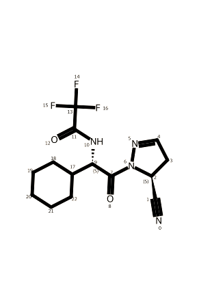 N#C[C@@H]1CC=NN1C(=O)[C@@H](NC(=O)C(F)(F)F)C1CCCCC1